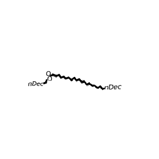 CCCCCCCCCCCCCCCCCCCCCCCCCCCCCCC(=O)OCCCCCCCCCCCC